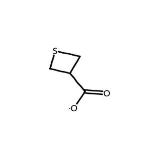 [O]C(=O)C1CSC1